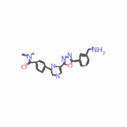 CN(C)C(=O)c1ccc(-c2cncc(-c3nnc(-c4cccc(CN)c4)o3)n2)cc1